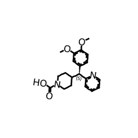 COc1ccc([C@@H](c2ccccn2)C2CCN(C(=O)O)CC2)cc1OC